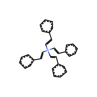 C(=C[N+](C=Cc1ccccc1)(C=Cc1ccccc1)C=Cc1ccccc1)c1ccccc1